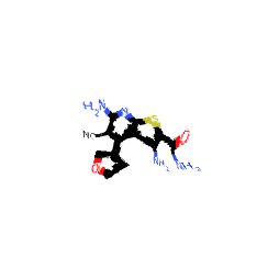 N#Cc1c(N)nc2sc(C(N)=O)c(N)c2c1-c1ccoc1